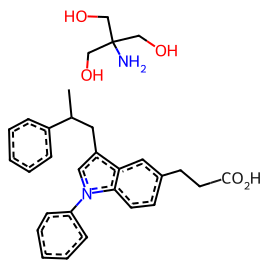 CC(Cc1cn(-c2ccccc2)c2ccc(CCC(=O)O)cc12)c1ccccc1.NC(CO)(CO)CO